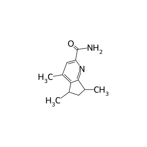 Cc1cc(C(N)=O)nc2c1C(C)CC2C